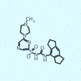 CN1CCN(c2cncc(S(=O)(=O)NC(=O)Nc3c4c(cc5c3CCC5)CCC4)n2)CC1